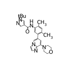 Cc1cc(C)c(-c2cc(N3CCOCC3)c3nccn3c2)cc1NC(=O)c1cnn(C(C)(C)C)c1